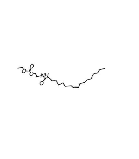 CCCCCCCC/C=C\CCCCCCCC(=O)NCCOC(=O)OCC